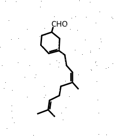 CC(C)=CCCC(C)=CCCC1=CCCC(C=O)C1